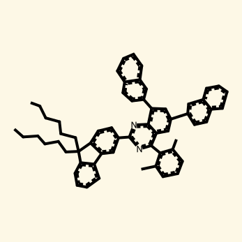 CCCCCCC1(CCCCCC)c2ccccc2-c2cc(-c3nc(-c4c(C)cccc4C)c4cc(-c5ccc6ccccc6c5)cc(-c5ccc6ccccc6c5)c4n3)ccc21